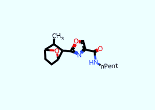 CCCCCNC(=O)c1coc(C2C3CCC(O3)C2C)n1